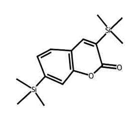 C[Si](C)(C)c1ccc2cc([Si](C)(C)C)c(=O)oc2c1